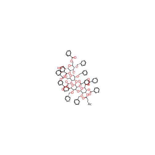 CC(=O)CCC(=O)OC1C(OCc2ccccc2)[C@@H](OC2C(OC(=O)c3ccccc3)[C@H](OC3C(OCc4ccccc4)[C@@H](OC4C(OC(=O)c5ccccc5)[C@H](CCO)OC(COC(=O)c5ccccc5)[C@@H]4OCc4ccccc4)OC(COC(=O)c4ccccc4)[C@@H]3OC(=O)c3ccccc3)OC(COC(=O)c3ccccc3)[C@@H]2OCc2ccccc2)OC(COC(=O)c2ccccc2)[C@@H]1OC(=O)c1ccccc1